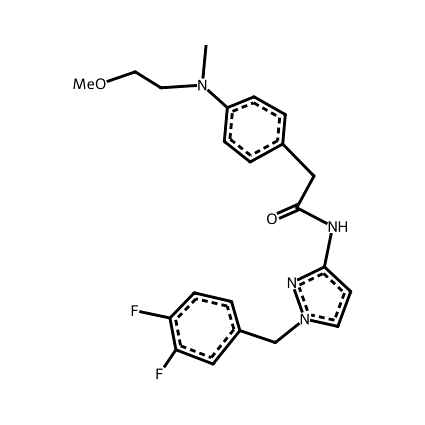 COCCN(C)c1ccc(CC(=O)Nc2ccn(Cc3ccc(F)c(F)c3)n2)cc1